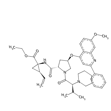 C=C[C@H]1C[C@]1(NC(=O)[C@@H]1C[C@@H](Oc2cc(-c3ccccc3)nc3cc(OC)ccc23)CN1C(=O)[C@H](C(C)C)N1CCCCC1)C(=O)OCC